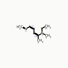 C=N/C=C\C=C(\C)N(C)CC